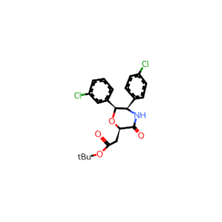 CC(C)(C)OC(=O)C[C@H]1O[C@@H](c2cccc(Cl)c2)[C@@H](c2ccc(Cl)cc2)NC1=O